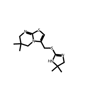 CC1(C)CN=C2SC=C(CSC3=NCC(C)(C)N3)N2C1